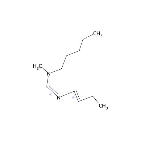 CC/C=C/N=C\N(C)CCCCC